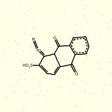 [N-]=[N+]=C1C(S(=O)(=O)O)=CC=C2C(=O)c3ccccc3C(=O)C21